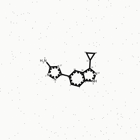 Nc1nnc(-c2ccc3[nH]nc(C4CC4)c3c2)s1